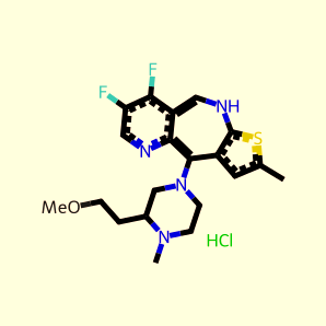 COCCC1CN(C2=c3ncc(F)c(F)c3=CNc3sc(C)cc32)CCN1C.Cl